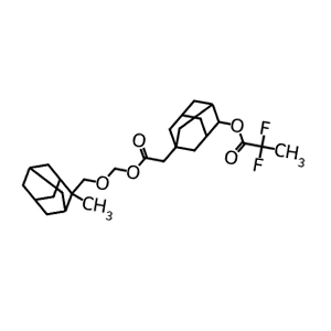 CC(F)(F)C(=O)OC1C2CC3CC1CC(CC(=O)OCOCC1(C)C4CC5CC(C4)CC1C5)(C3)C2